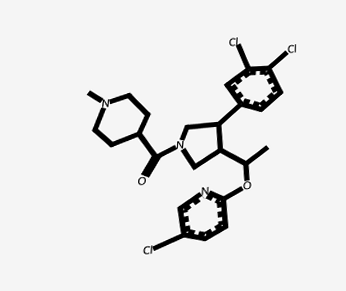 CC(Oc1ccc(Cl)cn1)C1CN(C(=O)C2CCN(C)CC2)CC1c1ccc(Cl)c(Cl)c1